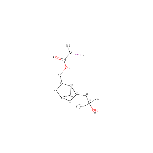 CCC(I)C(=O)OCC1CC2CC(CC(C)(O)C(F)(F)F)C1C2